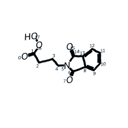 O=C(CCCN1C(=O)c2ccccc2C1=O)OO